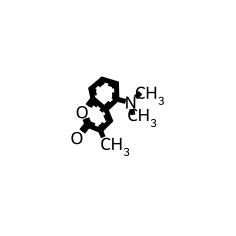 Cc1cc2c(N(C)C)cccc2oc1=O